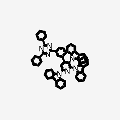 c1ccc(-c2nc(-c3ccccc3)nc(-c3cccc(-c4cc(-n5c6ccccc6c6ccccc65)nc(-n5c6ccccc6c6ccccc65)c4-n4c5ccccc5c5ccccc54)c3)n2)cc1